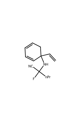 C=CC1(NC(F)(C#N)CCC)C=CC=CC1